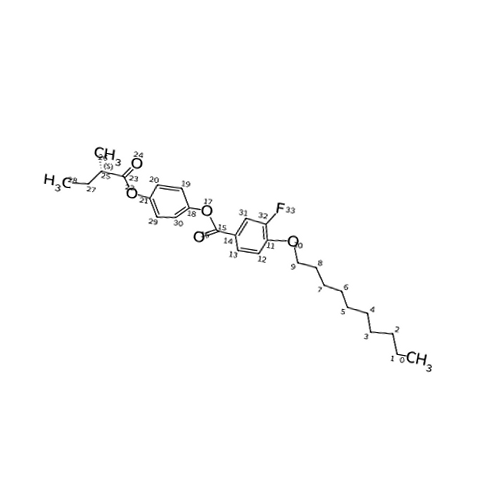 CCCCCCCCCCOc1ccc(C(=O)Oc2ccc(OC(=O)[C@@H](C)CC)cc2)cc1F